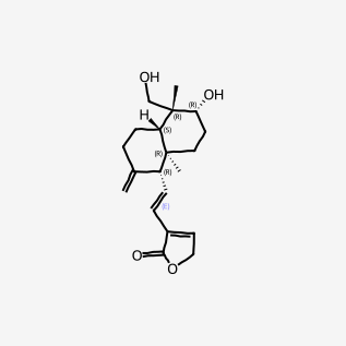 C=C1CC[C@@H]2[C@](C)(CO)[C@H](O)CC[C@@]2(C)[C@@H]1/C=C/C1=CCOC1=O